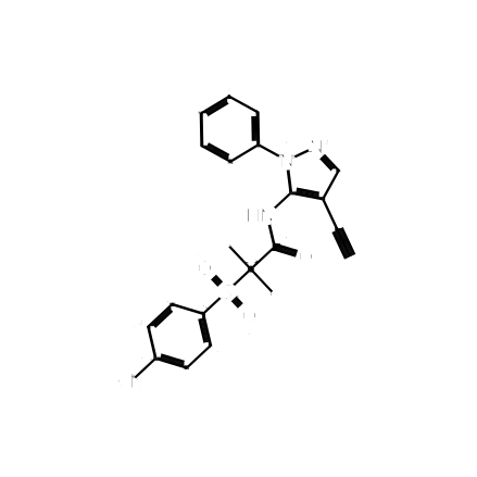 C#Cc1cnn(-c2ccccc2)c1NC(=O)C(C)(C)S(=O)(=O)c1ccc(Cl)cc1